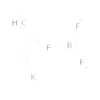 C/C=[CH]/[K].FB(F)F